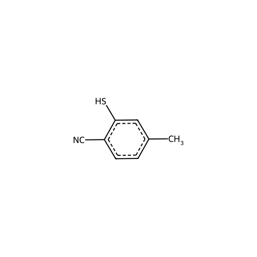 Cc1ccc(C#N)c(S)c1